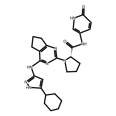 O=C(Nc1ccc(=O)[nH]c1)[C@@H]1CCCN1c1nc2c(c(Nc3cc(C4CCCCC4)[nH]n3)n1)CCC2